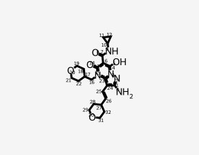 Nc1nn2c(O)c(C(=O)NC3CC3)c(=O)n(CC3CCOCC3)c2c1/C=C/C1CCOCC1